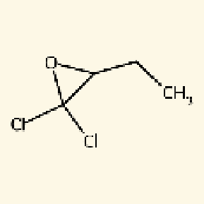 CCC1OC1(Cl)Cl